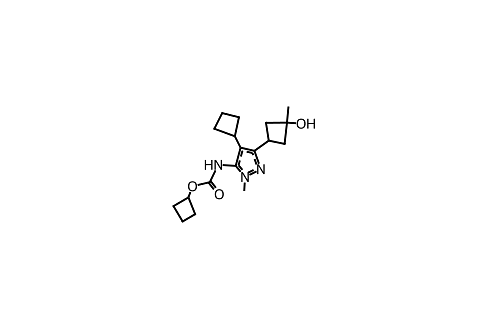 Cn1nc(C2CC(C)(O)C2)c(C2CCC2)c1NC(=O)OC1CCC1